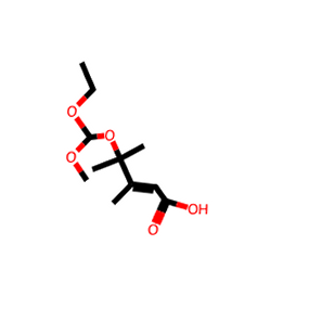 CCOC(OC)OC(C)(C)C(C)=CC(=O)O